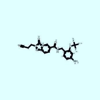 N#CCCn1nc2ccc(C(=O)NCc3ccc(N)cc3OC(F)(F)F)cn2c1=O